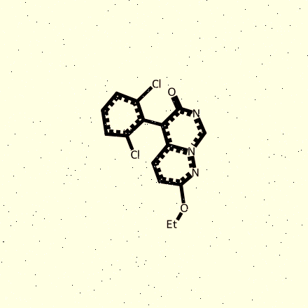 CCOc1ccc2c(-c3c(Cl)cccc3Cl)c(=O)ncn2n1